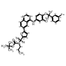 [2H]C([2H])(Oc1ccc(Nc2ncnc3ccc(-c4ccc(C([2H])([2H])N(CCC)C(=O)OC(C)(C)C)o4)cc23)cc1Cl)c1cccc(F)c1